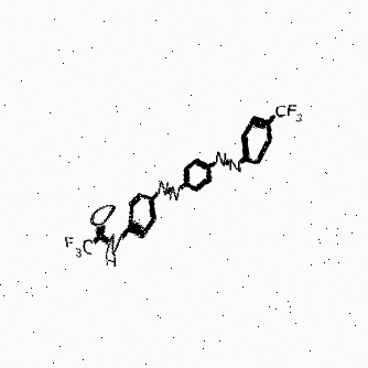 O=C(Nc1ccc(N=Nc2ccc(N=Nc3ccc(C(F)(F)F)cc3)cc2)cc1)C(F)(F)F